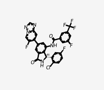 O=C(Nc1cc(-c2cc3ncnn3cc2F)cc2c1[C@H](c1cc(F)ccc1Cl)NC2=O)c1cc(F)cc(C(F)(F)F)c1